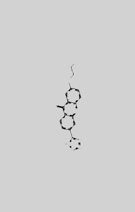 O=c1c2ccc(-c3nnn[nH]3)cc2oc2ccc(OCCO)cc12